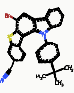 CC(C)(C)c1ccc(-n2c3ccccc3c3cc(Br)c4sc5cc(C#N)ccc5c4c32)cc1